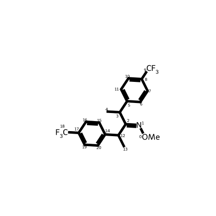 CON=C(C(C)c1ccc(C(F)(F)F)cc1)C(C)c1ccc(C(F)(F)F)cc1